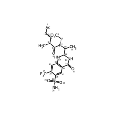 CC(=O)SCC(C)C(=O)N(CC(=O)O)C(C)C1NC(=O)c2cc(S(N)(=O)=O)c(C(F)(F)F)cc2N1